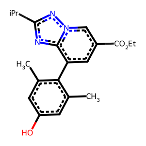 CCOC(=O)c1cc(-c2c(C)cc(O)cc2C)c2nc(C(C)C)nn2c1